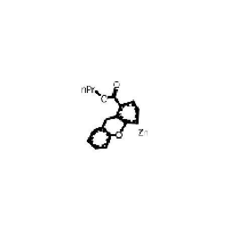 CCCOC(=O)c1cccc2c1Cc1ccccc1O2.[Zn]